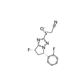 N#CC[S@+]([O-])c1nc2n(n1)[C@H](c1ccccc1F)C[C@@H]2F